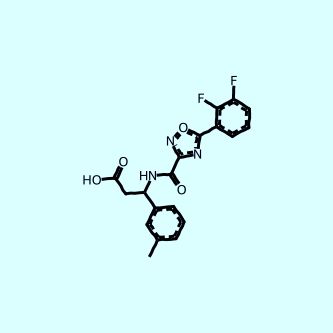 Cc1cccc(C(CC(=O)O)NC(=O)c2noc(-c3cccc(F)c3F)n2)c1